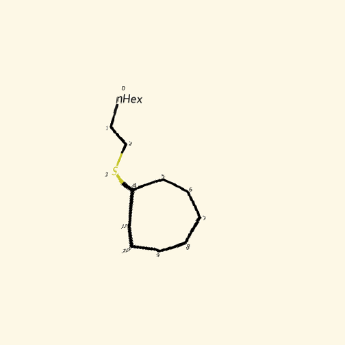 CCCCCCCCSC1CCCCCCC1